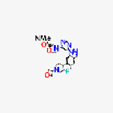 CNC(=O)[C@@H]1CN(c2cc(-n3ncc4cc(C)c(C5CCN(C6COC6)CC5F)cc43)ncn2)CCO1